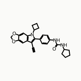 C#Cc1c(-c2ccc(NC(=O)NC3CCCC3)cc2)n(C2CCC2)c2cc3c(cc12)OCO3